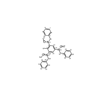 [CH2]c1c(N(Cc2ccccc2)OC)cc(N(Cc2ccccc2)OC)cc1N(Cc1ccccc1)OC